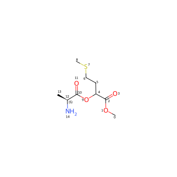 COC(=O)C(CCSC)OC(=O)[C@H](C)N